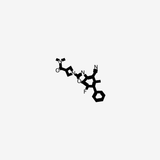 Cc1c(-c2ccccc2)c(F)c2oc(N3CC(C(=O)N(C)C)C3)nc2c1C#N